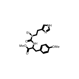 CCN(CCc1c[nH]cn1)C(=O)NC(Cc1ccc(OC)cc1)C(=O)OC